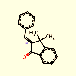 CC1(C)/C(=C\c2ccccc2)C(=O)c2ccccc21